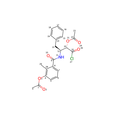 CC(=O)Oc1cccc(C(=O)N[C@@H](Cc2ccccc2)[C@H](OC(C)=O)C(=O)Cl)c1C